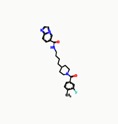 Cc1ccc(C(=O)N2CCC(CCCCNC(=O)c3ccc4nccn4c3)CC2)cc1F